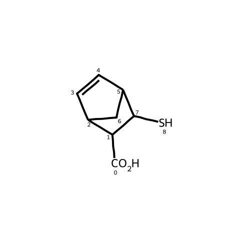 O=C(O)C1C2C=CC(C2)C1S